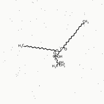 CCCCCCCCCCCCCCCCCC(=O)OCC(COP(=O)(O)OCC[N+](C)(C)C)OC(=O)CCCCCCCCCCCCCCCCC